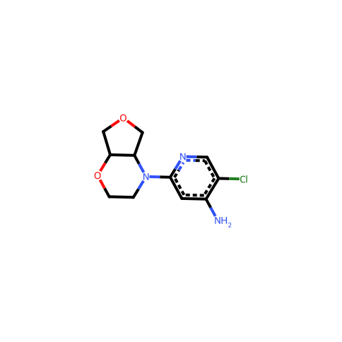 Nc1cc(N2CCOC3COCC32)ncc1Cl